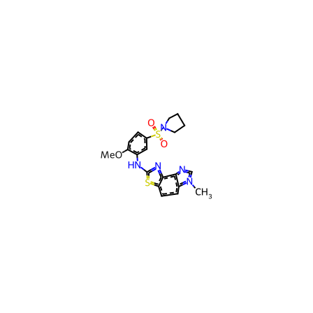 COc1ccc(S(=O)(=O)N2CCCC2)cc1Nc1nc2c(ccc3c2ncn3C)s1